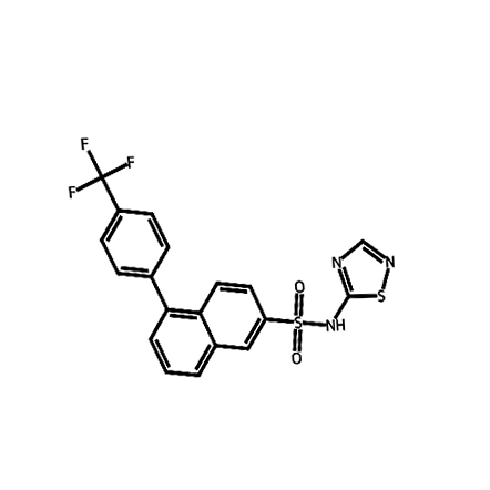 O=S(=O)(Nc1ncns1)c1ccc2c(-c3ccc(C(F)(F)F)cc3)cccc2c1